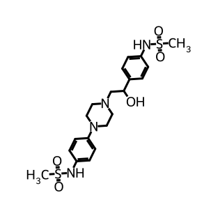 CS(=O)(=O)Nc1ccc(C(O)CN2CCN(c3ccc(NS(C)(=O)=O)cc3)CC2)cc1